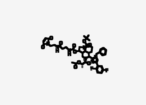 CC(=O)O[C@@H](C)C(=O)N(CC1CN(C(=O)OC(C)(C)C)CC1OC(=O)NCCC(=O)NCCN1C(=O)C=CC1=O)C(c1nc(-c2cc(F)ccc2F)cn1Cc1ccccc1)C1CCOCC1